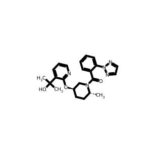 C[C@@H]1CC[C@@H](Oc2ncccc2C(C)(C)O)CN1C(=O)c1ccccc1-n1nccn1